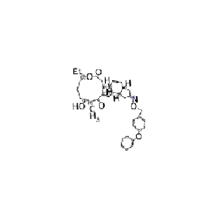 CC[C@H]1CCC[C@H](O)[C@@H](C)C(=O)C2=C[C@@H]3[C@@H](C=C[C@@H]4C/C(=N/OCc5ccc(Oc6ccccc6)cc5)C[C@@H]34)[C@@H]2CC(=O)O1